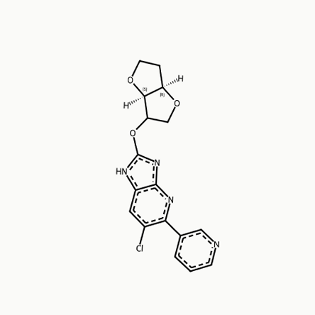 Clc1cc2[nH]c(OC3CO[C@@H]4CCO[C@H]34)nc2nc1-c1cccnc1